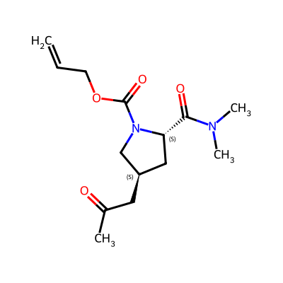 C=CCOC(=O)N1C[C@H](CC(C)=O)C[C@H]1C(=O)N(C)C